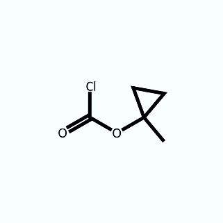 CC1(OC(=O)Cl)CC1